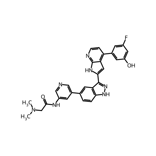 CN(C)CC(=O)Nc1cncc(-c2ccc3[nH]nc(-c4cc5c(-c6cc(O)cc(F)c6)ccnc5[nH]4)c3c2)c1